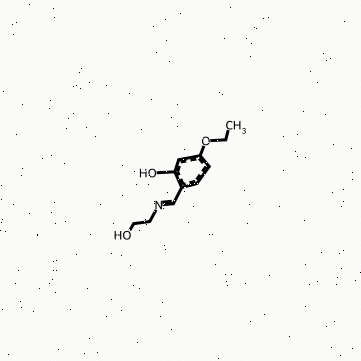 CCOc1ccc(C=NCCO)c(O)c1